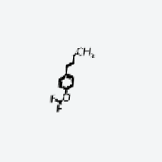 CC/C=C/c1ccc(OC(F)F)cc1